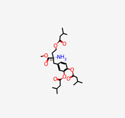 COC(=O)[C@@](N)(CCOC(=O)CC(C)C)Cc1ccc(OC(=O)CC(C)C)c(OC(=O)CC(C)C)c1